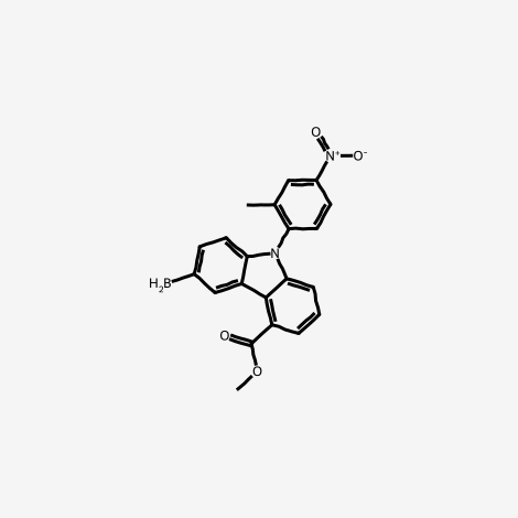 Bc1ccc2c(c1)c1c(C(=O)OC)cccc1n2-c1ccc([N+](=O)[O-])cc1C